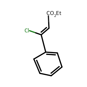 CCOC(=O)C=C(Cl)c1ccccc1